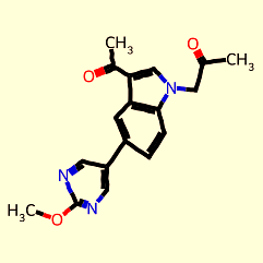 COc1ncc(-c2ccc3c(c2)c(C(C)=O)cn3CC(C)=O)cn1